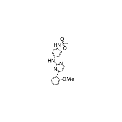 COc1ccccc1-c1ccnc(Nc2ccc(NS(C)(=O)=O)cc2)n1